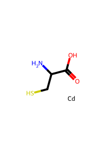 NC(CS)C(=O)O.[Cd]